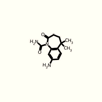 CC1(C)C[C]C(=O)N(C(N)=O)c2cc(N)ccc21